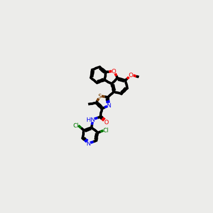 COc1ccc(-c2nc(C(=O)Nc3c(Cl)cncc3Cl)c(C)s2)c2c1oc1ccccc12